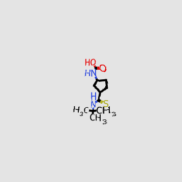 CC(C)(C)NC(=S)C1CCC(NC(=O)O)C1